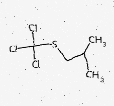 CC(C)CSC(Cl)(Cl)Cl